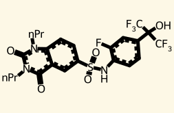 CCCn1c(=O)c2cc(S(=O)(=O)Nc3ccc(C(O)(C(F)(F)F)C(F)(F)F)cc3F)ccc2n(CCC)c1=O